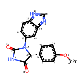 CCCOc1ccc([C@@H]2C(=O)NC(=O)N2c2ccc3[nH]cnc3c2)cc1